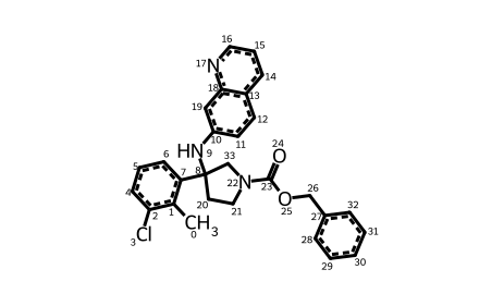 Cc1c(Cl)cccc1C1(Nc2ccc3cccnc3c2)CCN(C(=O)OCc2ccccc2)C1